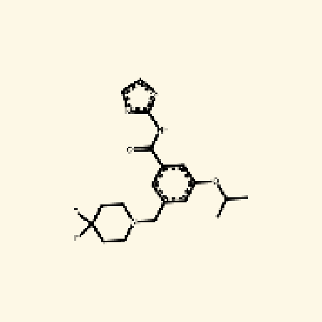 CC(C)Oc1cc(CN2CCC(F)(F)CC2)cc(C(=O)Nc2nccs2)c1